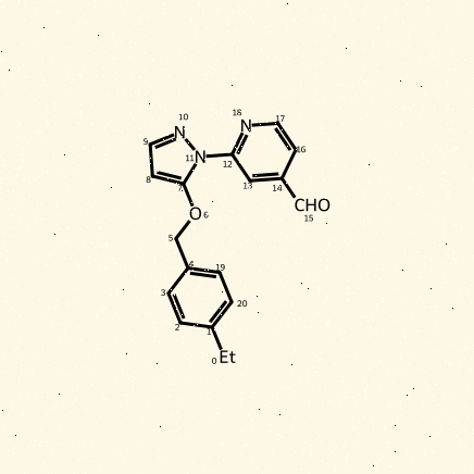 CCc1ccc(COc2ccnn2-c2cc(C=O)ccn2)cc1